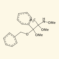 CONC(C)(OC)C(OC)(OCc1ccccc1)c1ccccc1